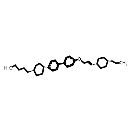 CCCCC[C@H]1CC[C@H](c2ccc(-c3ccc(OC/C=C/[C@H]4CC[C@H](CCC)CC4)cc3)cc2)CC1